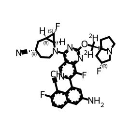 [2H]C([2H])(Oc1nc(N2CC[C@H](C#N)C[C@H]3[C@H](F)[C@H]32)c2cnc(-c3cc(N)cc4ccc(F)c(C#C)c34)c(F)c2n1)[C@@]12CCCN1C[C@H](F)C2